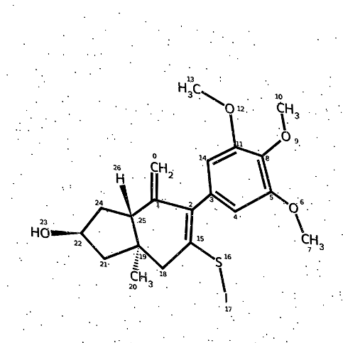 C=C1C(c2cc(OC)c(OC)c(OC)c2)=C(SI)C[C@@]2(C)C[C@@H](O)C[C@H]12